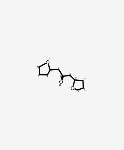 O=C(CC1CCCO1)CC1CCCO1